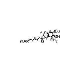 CCCCCCCCCCCCSCCC(=O)OCc1c(C)cc(C(C)(C)C)c(O)c1C